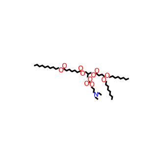 CCCCCCCCCCOC(=O)CCCCCC(=O)OCC(COC(=O)CCC(OCCCCCCCC)OCCCCCCCC)COC(=O)OCCCN(CC)CC